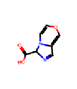 O=C(O)C1N=CC2=COC=CN21